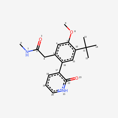 CNC(=O)Cc1cc(OC)c(C(C)(C)C)cc1-c1ccc[nH]c1=O